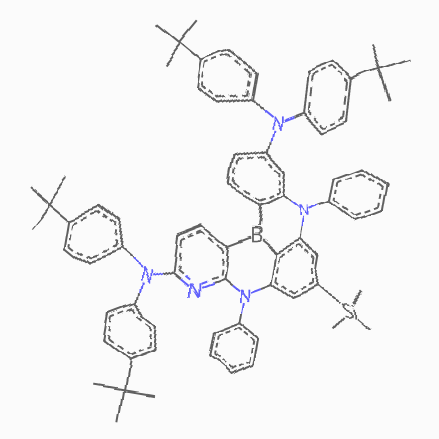 CC(C)(C)c1ccc(N(c2ccc(C(C)(C)C)cc2)c2ccc3c(c2)N(c2ccccc2)c2cc([Si](C)(C)C)cc4c2B3c2ccc(N(c3ccc(C(C)(C)C)cc3)c3ccc(C(C)(C)C)cc3)nc2N4c2ccccc2)cc1